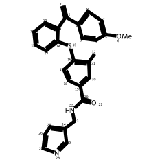 C=C(c1ccc(OC)cc1)c1ccccc1Sc1ccc(C(=O)NCc2cccnc2)cc1C